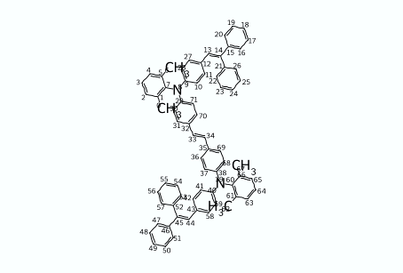 Cc1cccc(C)c1N(c1ccc(C=C(c2ccccc2)c2ccccc2)cc1)c1ccc(/C=C/c2ccc(N(c3ccc(C=C(c4ccccc4)c4ccccc4)cc3)c3c(C)cccc3C)cc2)cc1